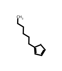 CCCCCCC1=CC=C[C]1